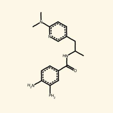 CC(Cc1ccc(N(C)C)nc1)NC(=O)c1ccc(N)c(P)c1